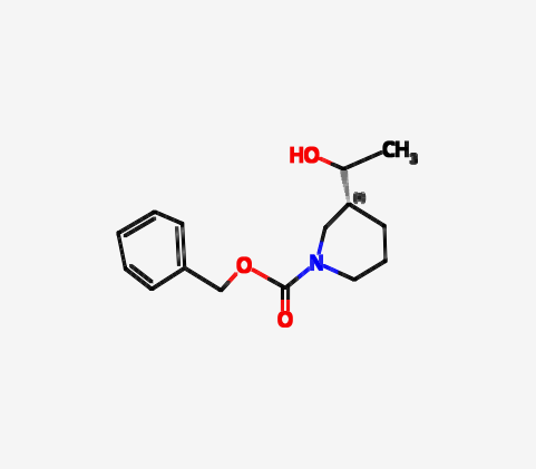 CC(O)[C@@H]1CCCN(C(=O)OCc2ccccc2)C1